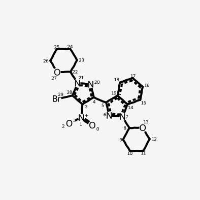 O=[N+]([O-])c1c(-c2nn(C3CCCCO3)c3ccccc23)nn(C2CCCCO2)c1Br